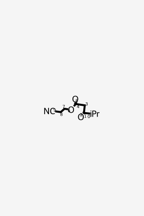 CC(C)C(=O)CC(=O)OCCC#N